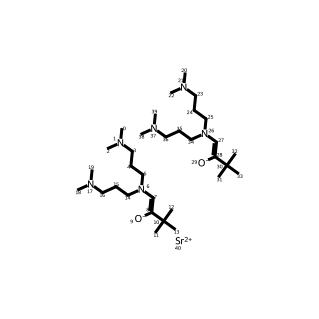 CN(C)CCCN(/C=C(\[O-])C(C)(C)C)CCCN(C)C.CN(C)CCCN(/C=C(\[O-])C(C)(C)C)CCCN(C)C.[Sr+2]